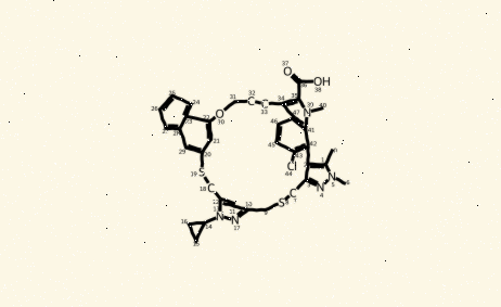 Cc1c2c(nn1C)CSCc1cc(n(C3CC3)n1)CSc1cc(c3ccccc3c1)OCCCc1c(C(=O)O)n(C)c3c-2c(Cl)ccc13